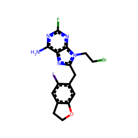 Nc1nc(F)nc2c1nc(Cc1cc3c(cc1I)CCO3)n2CCBr